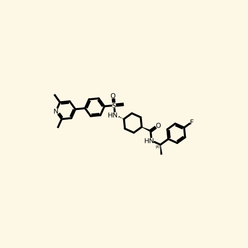 C=S(=O)(N[C@H]1CC[C@H](C(=O)N[C@H](C)c2ccc(F)cc2)CC1)c1ccc(-c2cc(C)nc(C)c2)cc1